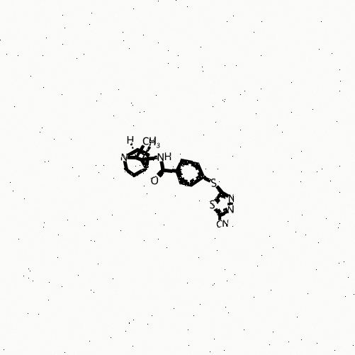 C[C@H]1[C@H](NC(=O)c2ccc(Sc3nnc(C#N)s3)cc2)C2CCN1CC2